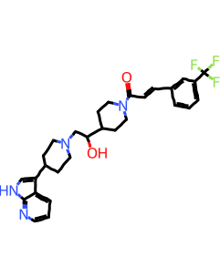 O=C(C=Cc1cccc(C(F)(F)F)c1)N1CCC(C(O)CN2CCC(c3c[nH]c4ncccc34)CC2)CC1